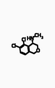 CN[C@H]1COCc2ccc(Cl)c(Cl)c21